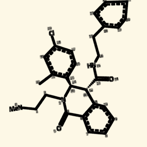 CNCCN1C(=O)c2ccccc2[C@@H](C(=O)NCCc2ccccc2)[C@@H]1c1ccc(Cl)cc1C